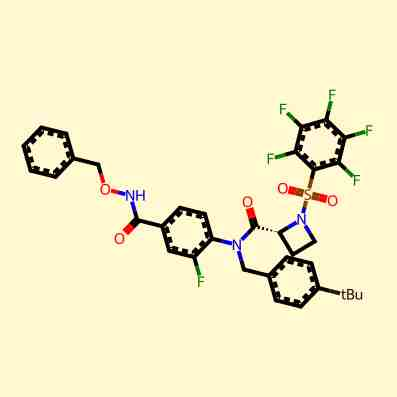 CC(C)(C)c1ccc(CN(C(=O)[C@H]2CCN2S(=O)(=O)c2c(F)c(F)c(F)c(F)c2F)c2ccc(C(=O)NOCc3ccccc3)cc2F)cc1